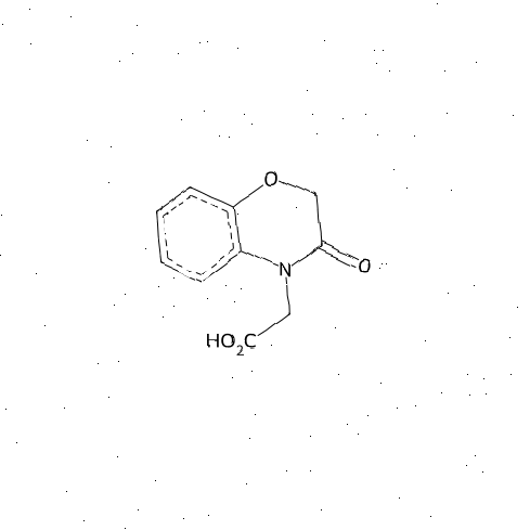 O=C(O)CN1C(=O)COc2ccccc21